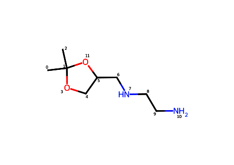 CC1(C)OCC(CNCCN)O1